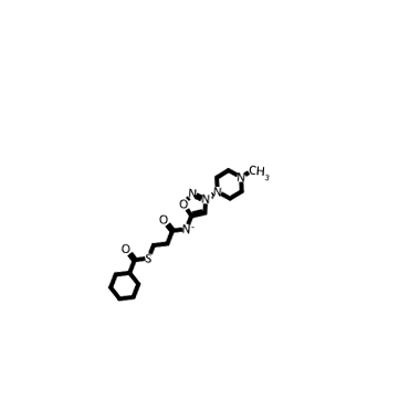 CN1CCN([n+]2cc([N-]C(=O)CCSC(=O)C3CCCCC3)on2)CC1